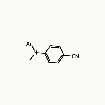 [CH2]C(=O)N(C)c1ccc(C#N)cc1